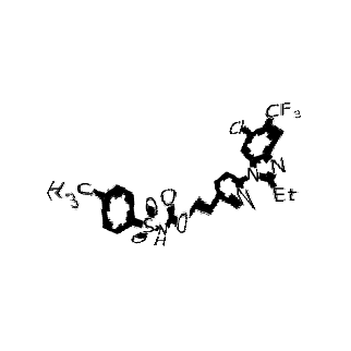 CCc1nc2cc(C(F)(F)F)c(Cl)cc2n1-c1ccc(CCOC(=O)NS(=O)(=O)c2ccc(C)cc2)cn1